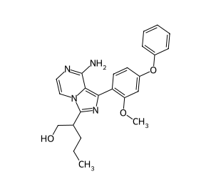 CCCC(CO)c1nc(-c2ccc(Oc3ccccc3)cc2OC)c2c(N)nccn12